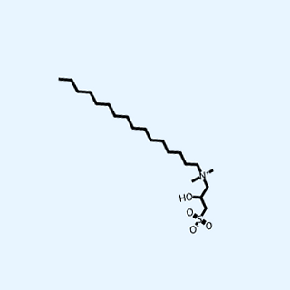 CCCCCCCCCCCCCCCC[N+](C)(C)CC(O)CS(=O)(=O)[O-]